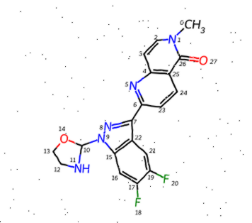 Cn1ccc2nc(-c3nn(C4NCCO4)c4cc(F)c(F)cc34)ccc2c1=O